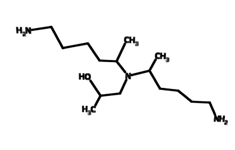 CC(O)CN(C(C)CCCCN)C(C)CCCCN